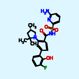 C[C@@H]1CN(c2cc(-c3cccc(F)c3O)ccc2C(=O)NS(=O)(=O)c2cccc(N)n2)C(C)(C)C1